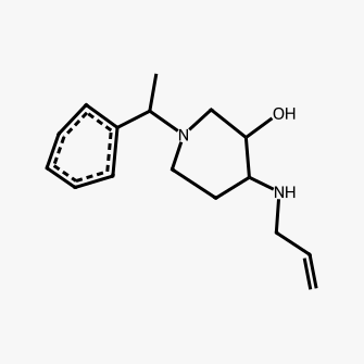 C=CCNC1CCN(C(C)c2ccccc2)CC1O